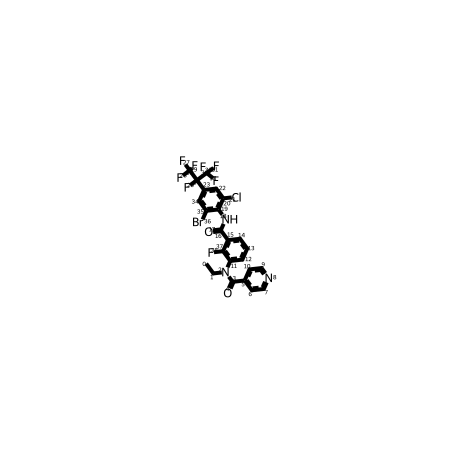 CCN(C(=O)c1ccncc1)c1cccc(C(=O)Nc2c(Cl)cc(C(F)(C(F)(F)F)C(F)(F)F)cc2Br)c1F